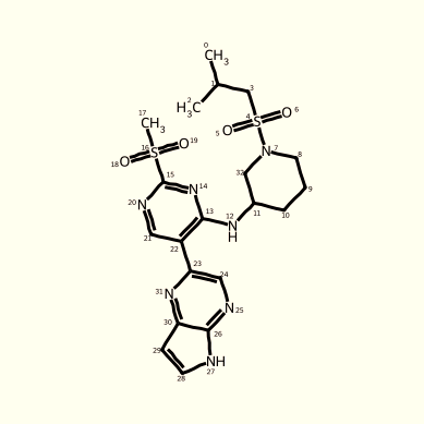 CC(C)CS(=O)(=O)N1CCCC(Nc2nc(S(C)(=O)=O)ncc2-c2cnc3[nH]ccc3n2)C1